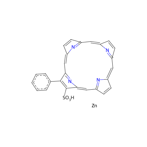 O=S(=O)(O)C1=C(c2ccccc2)C2=NC1=CC1=NC(=CC3=NC(=CC4=NC(=C2)C=C4)C=C3)C=C1.[Zn]